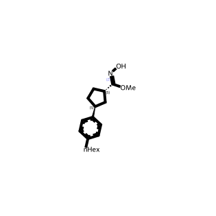 CCCCCCc1ccc([C@H]2CC[C@H](/C(=N/O)OC)C2)cc1